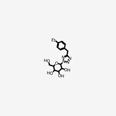 CCc1ccc(Cc2nnn(C3OC(CO)C(O)C(O)C3O)n2)cc1